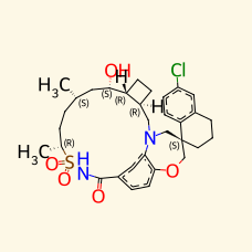 C[C@H]1CC[C@@H](C)S(=O)(=O)NC(=O)c2ccc3c(c2)N(C[C@@H]2CC[C@H]2[C@@H](O)C1)C[C@@]1(CCCc2cc(Cl)ccc21)CO3